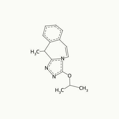 CC(C)Oc1nnc2n1C=Cc1ccccc1C2C